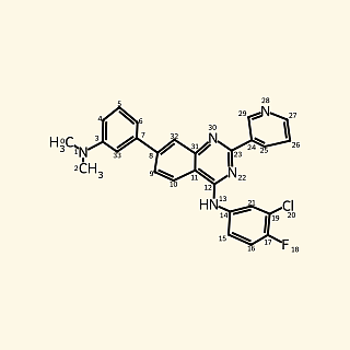 CN(C)c1cccc(-c2ccc3c(Nc4ccc(F)c(Cl)c4)nc(-c4cccnc4)nc3c2)c1